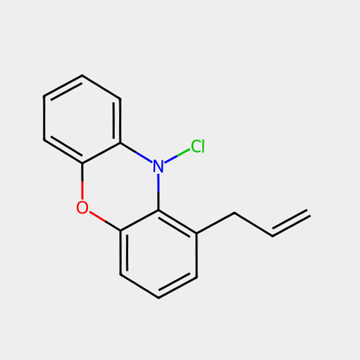 C=CCc1cccc2c1N(Cl)c1ccccc1O2